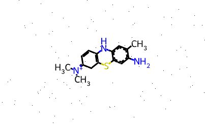 Cc1cc2c(cc1N)SC1=C(C=CC(=[N+](C)C)C1)N2